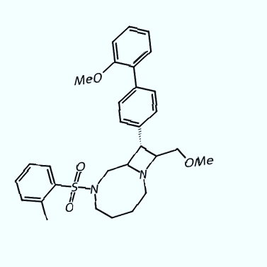 COCC1[C@@H](c2ccc(-c3ccccc3OC)cc2)C2CN(S(=O)(=O)c3ccccc3C)CCCCN12